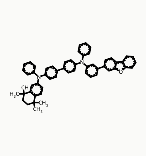 CC1(C)CCC(C)(C)c2cc(N(c3ccccc3)c3ccc(-c4ccc(N(c5ccccc5)c5cccc(-c6ccc7c(c6)oc6ccccc67)c5)cc4)cc3)ccc21